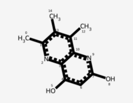 Cc1nc2c(O)cc(O)nc2c(C)c1C